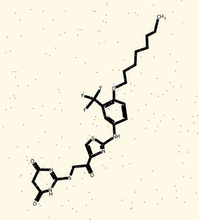 CCCCCCCCOc1ccc(Nc2nc(C(=O)CSC3=NC(=O)CC(=O)N3)cs2)cc1C(F)(F)F